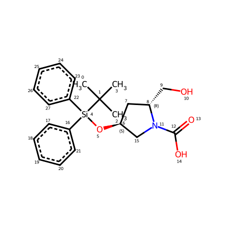 CC(C)(C)[Si](O[C@H]1C[C@H](CO)N(C(=O)O)C1)(c1ccccc1)c1ccccc1